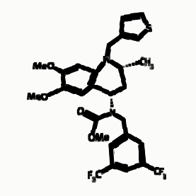 COC(=O)N(Cc1cc(C(F)(F)F)cc(C(F)(F)F)c1)[C@H]1C[C@@H](C)N(Cc2ccsc2)c2cc(OC)c(OC)cc21